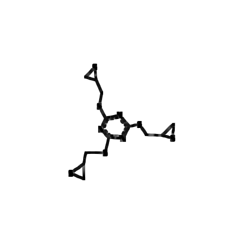 C(Sc1nc(SCC2CS2)nc(SCC2CS2)n1)C1CS1